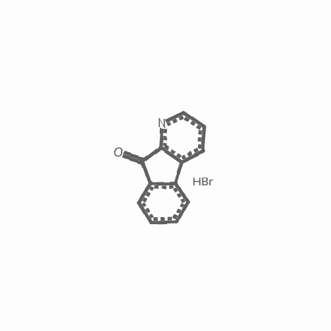 Br.O=C1c2ccccc2-c2cccnc21